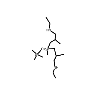 CCNCC(C)C[Si](C)(CC(C)CNCC)O[Si](C)(C)C